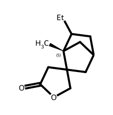 CCC1CC2CC3(COC(=O)C3)[C@@]1(C)C2